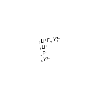 [F-].[F-].[Li+].[Li+].[Y+3].[Y+3]